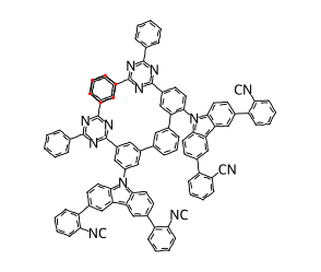 [C-]#[N+]c1ccccc1-c1ccc2c(c1)c1cc(-c3ccccc3[N+]#[C-])ccc1n2-c1cc(-c2cccc(-c3cc(-c4nc(-c5ccccc5)nc(-c5ccccc5)n4)ccc3-n3c4ccc(-c5ccccc5C#N)cc4c4cc(-c5ccccc5[N+]#[C-])ccc43)c2)cc(-c2nc(-c3ccccc3)nc(-c3ccccc3)n2)c1